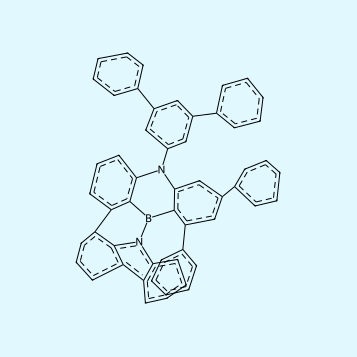 c1ccc(-c2cc(-c3ccccc3)cc(N3c4cc(-c5ccccc5)cc(-c5ccccc5)c4B4c5c(cccc53)-c3cccc5c6ccccc6n4c35)c2)cc1